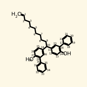 C=CCCCCCCCCC(c1ccc(O)c(-c2ccccc2)c1)c1ccc(O)c(-c2ccccc2)c1